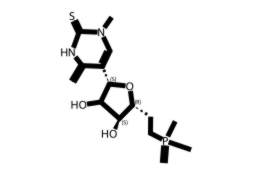 C=C1NC(=S)N(C)C=C1[C@@H]1O[C@H](CCP(=C)(C)C)[C@@H](O)C1O